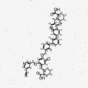 Cc1c(COc2cc(OCc3cncc(C#N)c3)c(CN3CCCC[C@@H]3C(=O)O)cc2Cl)cccc1-c1cccc(-c2ccn3c(=O)c(CN4CCCC[C@@H]4C(=O)O)cnc3c2)c1C